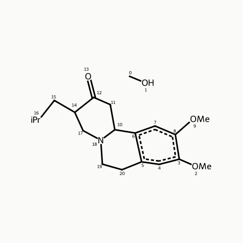 CO.COc1cc2c(cc1OC)C1CC(=O)C(CC(C)C)CN1CC2